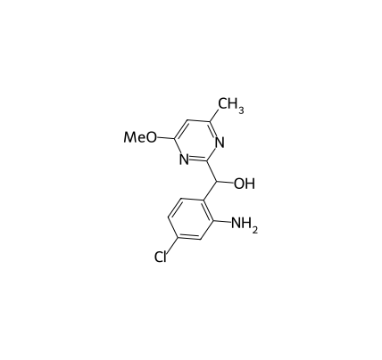 COc1cc(C)nc(C(O)c2ccc(Cl)cc2N)n1